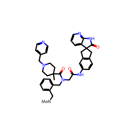 CNCc1ccccc1CN(CC(=O)Nc1ccc2c(c1)CC1(C2)C(=O)Nc2ncccc21)C(=O)C1(C)CCN(Cc2ccncc2)CC1